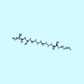 CCOCC(=O)NCCCOCCCOCC(F)CNC(C)=O